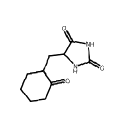 O=C1NC(=O)C(CC2CCCCC2=O)N1